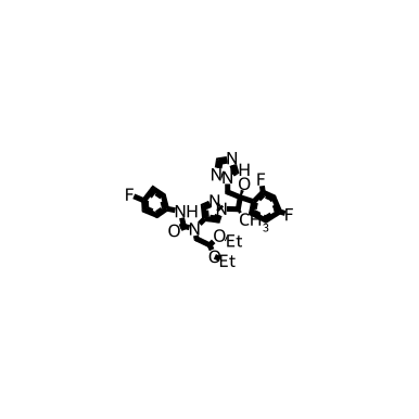 CCOC(CN(C(=O)Nc1ccc(F)cc1)c1cnn([C@H](C)[C@](O)(Cn2cncn2)c2ccc(F)cc2F)c1)OCC